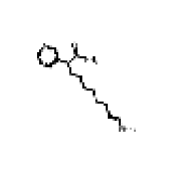 CCCCCCC=CCCCCCCC(C(N)=O)c1cccnc1